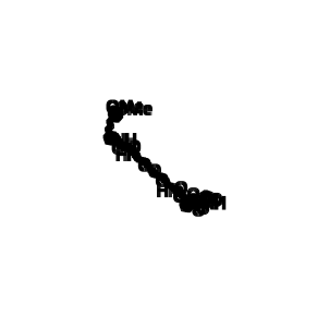 COc1ccc(CCCc2cccc(NC(=O)CCC(=O)NCCCOCCOCCOCCCNC(=O)OCc3cccc4c3C(=O)N([C@H]3CCCC(=O)NC3=O)C4=O)c2)cc1OC